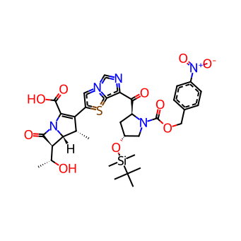 C[C@@H](O)[C@H]1C(=O)N2C(C(=O)O)=C(c3cn4cnc(C(=O)[C@@H]5C[C@@H](O[Si](C)(C)C(C)(C)C)CN5C(=O)OCc5ccc([N+](=O)[O-])cc5)c4s3)[C@H](C)[C@H]12